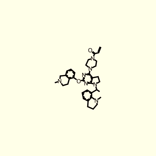 C=CC(=O)N1CCN(c2nc(Oc3cccc4c3CCN(C)C4)nc3c2CCN3C(C)c2cccc3c2N(C)CCC3)CC1